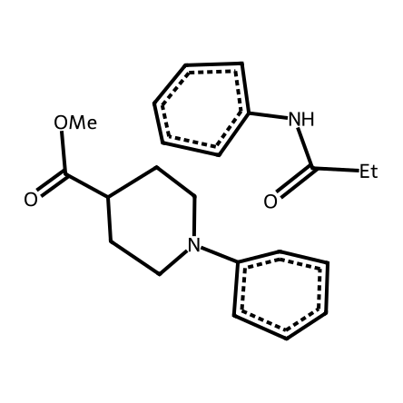 CCC(=O)Nc1ccccc1.COC(=O)C1CCN(c2ccccc2)CC1